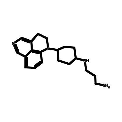 NCCCNC1CCC(N2CCc3cncc4cccc2c34)CC1